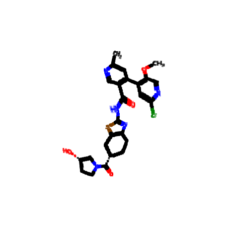 COc1cnc(Cl)cc1-c1cc(C)ncc1C(=O)Nc1nc2c(s1)C[C@@H](C(=O)N1CC[C@H](O)C1)CC2